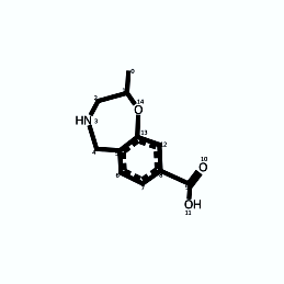 CC1CNCc2ccc(C(=O)O)cc2O1